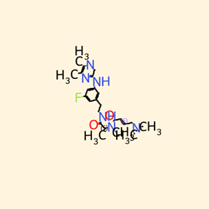 Cc1ncc(Nc2cc(F)cc(CCNC(=O)[C@H](C)N(C)C(=O)/C=C/CN(C)C)c2)nc1C